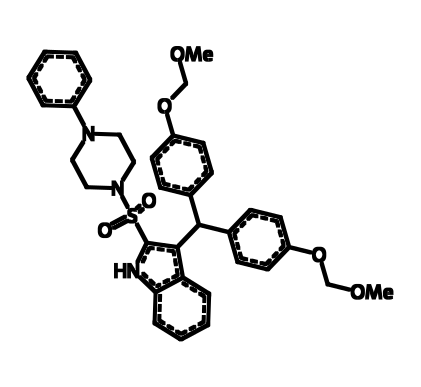 COCOc1ccc(C(c2ccc(OCOC)cc2)c2c(S(=O)(=O)N3CCN(c4ccccc4)CC3)[nH]c3ccccc23)cc1